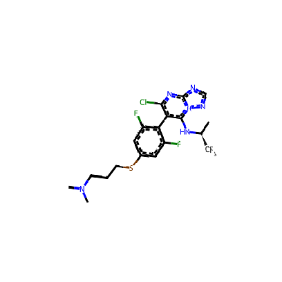 C[C@H](Nc1c(-c2c(F)cc(SCCCN(C)C)cc2F)c(Cl)nc2ncnn12)C(F)(F)F